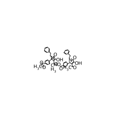 CC(=O)C1=C(O)C(=O)N(CCc2ccccc2)C1c1ccc(C(=O)O)cc1.CC(=O)C1=C(O)C(=O)N(CCc2ccccc2)C1c1ccc(S(C)(=O)=O)cc1